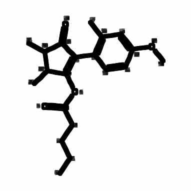 CCCCC(=O)OC1=C(c2ccc(OC)cc2C)C(=O)C(C)C1C